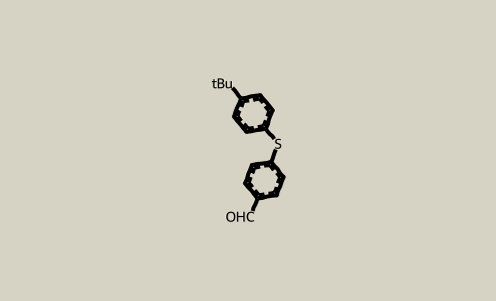 CC(C)(C)c1ccc(Sc2ccc(C=O)cc2)cc1